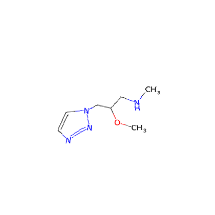 CNCC(Cn1ccnn1)OC